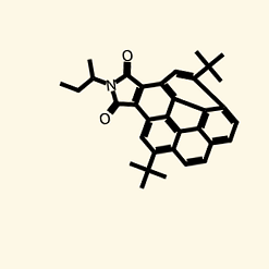 CCC(C)n1c(=O)c2c3cc(C(C)(C)C)c4ccc5ccc6c(C(C)(C)C)cc(c2c1=O)c1c6c5c4c31